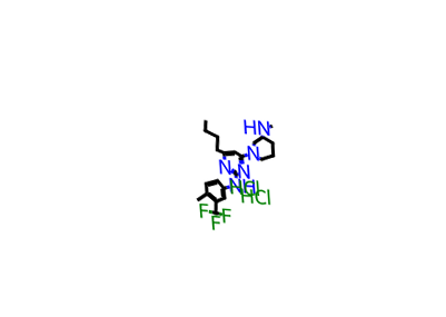 CCCCc1cc(N2CCCC(NC)C2)nc(Nc2ccc(C)c(C(F)(F)F)c2)n1.Cl.Cl